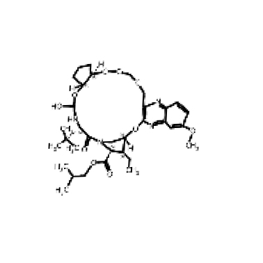 CC[C@@H]1[C@@H]2CN(C(=O)[C@H](C(C)(C)C)NC(O)O[C@@H]3CCC[C@H]3CCCCCc3nc4ccc(OC)cc4nc3O2)[C@@H]1C(=O)OCC(C)C